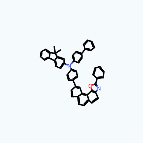 CC1(C)c2ccccc2-c2ccc(N(c3ccc(-c4ccccc4)cc3)c3ccc(-c4ccc5ccc6ccc7nc(-c8ccccc8)oc7c6c5c4)cc3)cc21